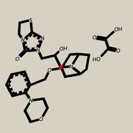 O=C(O)C(=O)O.O=c1n(CC(O)CN2C3CCC2CC(OCc2ccccc2N2CCOCC2)C3)nc2n1CCS2